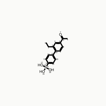 CCc1cc(C(C)=O)ccc1-c1ccc([N+](O)(O)O)cc1